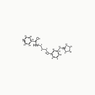 O=C(NCCCOc1cccc(CN2CCCC2)c1)c1ccncc1